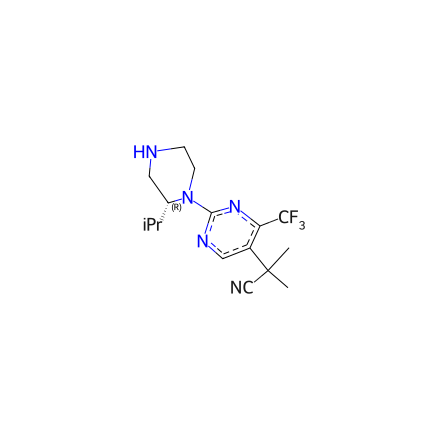 CC(C)[C@@H]1CNCCN1c1ncc(C(C)(C)C#N)c(C(F)(F)F)n1